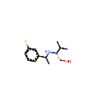 CC(N[C@@H](CO)C(C)C)c1cccc(F)c1